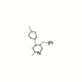 Cc1ccc(-c2[c]c(C)ncc2CC(C)C)cc1